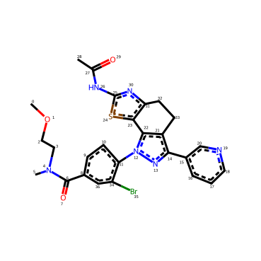 COCCN(C)C(=O)c1ccc(-n2nc(-c3cccnc3)c3c2-c2sc(NC(C)=O)nc2CC3)c(Br)c1